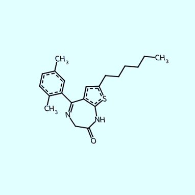 CCCCCCc1cc2c(s1)NC(=O)CN=C2c1cc(C)ccc1C